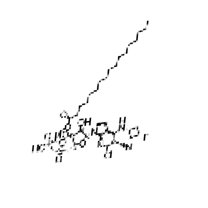 CCCCCCCCCCCCCCCCC(=O)OCOP(=O)(O)CS(=O)(=O)C[C@H]1O[C@@H](n2ccc3c(N[C@H]4C[C@@H](F)C4)c(C#N)c(Cl)nc32)[C@H](O)[C@@H]1O